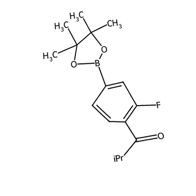 CC(C)C(=O)c1ccc(B2OC(C)(C)C(C)(C)O2)cc1F